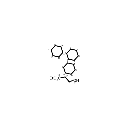 C1CCCCC1.C1CCCCC1.C1CCCCC1.CCOC(=O)CCO